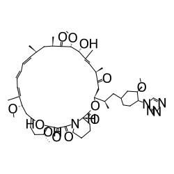 CO[C@H]1C[C@@H]2CC[C@@H](C)[C@@](O)(O2)C(=O)C(=O)N2CCCC[C@H]2C(=O)O[C@H]([C@H](C)CC2CCC(n3cnnn3)[C@H](OC)C2)CC(=O)[C@H](C)/C=C(\C)[C@@H](O)[C@@H](OC)C(=O)[C@H](C)C[C@H](C)/C=C/C=C/C=C/1C